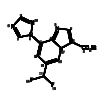 CCOC(=O)c1cnc2c(-n3cncn3)cc(C(F)F)cn12